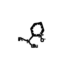 CC(C)N(c1cccc[n+]1[O-])C(C)(C)C